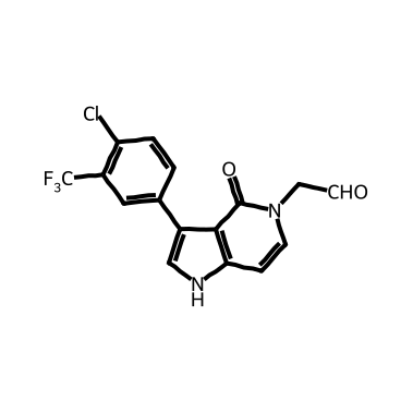 O=CCn1ccc2[nH]cc(-c3ccc(Cl)c(C(F)(F)F)c3)c2c1=O